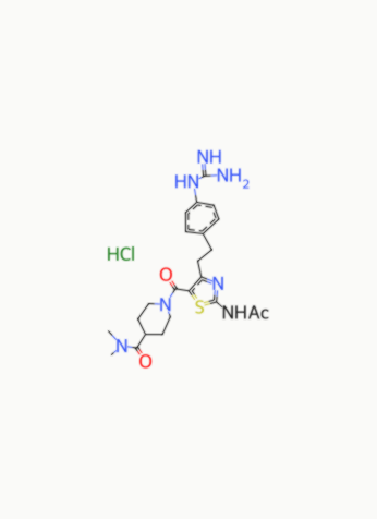 CC(=O)Nc1nc(CCc2ccc(NC(=N)N)cc2)c(C(=O)N2CCC(C(=O)N(C)C)CC2)s1.Cl